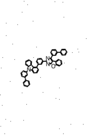 c1ccc(-c2cccc(-c3nc(-c4cccc(-c5cccc6c5c5ccccc5n6-c5cccc(-c6ccccc6)c5)c4)nc4oc5ccccc5c34)c2)cc1